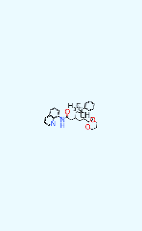 C[Si](C)(CC(CCC1OCCCO1)CC(=O)Nc1cccc2cccnc12)c1ccccc1